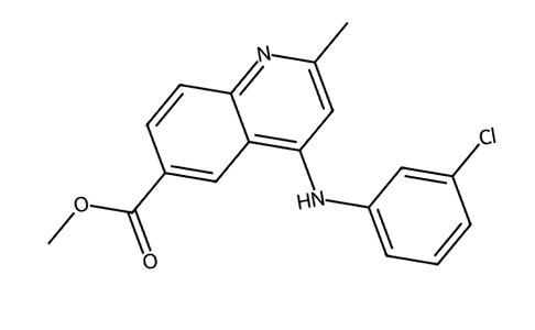 COC(=O)c1ccc2nc(C)cc(Nc3cccc(Cl)c3)c2c1